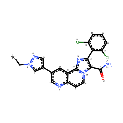 N#CCn1cc(-c2cnc3ccn4c(C(N)=O)c(-c5c(Cl)cccc5Cl)nc4c3c2)cn1